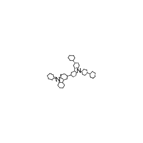 C1CCC(C2CCC(N3C4CCC(C5CCCCC5)CC4C4CC(C5CCC6C(C5)C5CCCCC5N6C5CCCCC5)CCC43)CC2)CC1